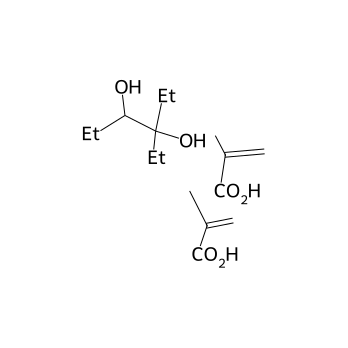 C=C(C)C(=O)O.C=C(C)C(=O)O.CCC(O)C(O)(CC)CC